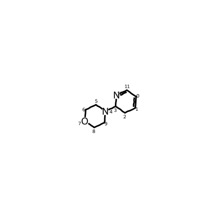 C1=CCC(N2CCOCC2)N=C1